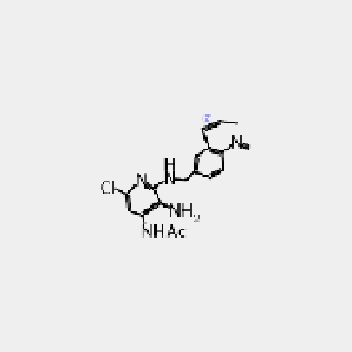 C=Nc1ccc(CNc2nc(Cl)cc(NC(C)=O)c2N)cc1/C=C\C